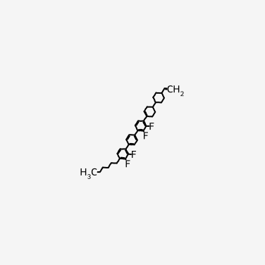 C=CC1CCC(C2CC=C(c3ccc(-c4ccc(-c5ccc(CCCCCC)c(F)c5F)cc4)c(F)c3F)CC2)CC1